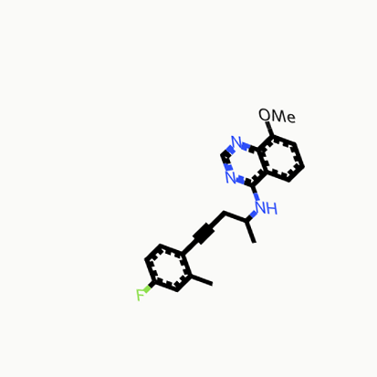 COc1cccc2c(NC(C)CC#Cc3ccc(F)cc3C)ncnc12